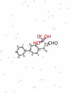 CC(c1ccc(-c2ccccc2)cc1)C(C=O)P(=O)(O)O